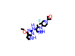 CCOc1nc(N/C(C=N)=C(\C)NC2CCN(C3COC3)CC2(C)F)nc2[nH]ccc12